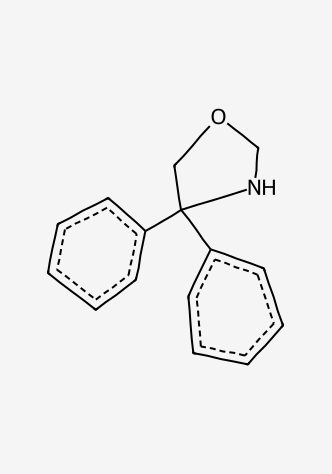 c1ccc(C2(c3ccccc3)COCN2)cc1